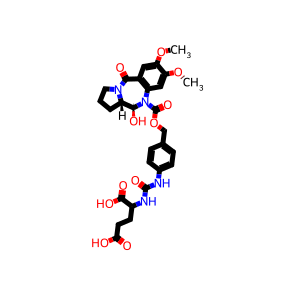 COc1cc2c(cc1OC)N(C(=O)OCc1ccc(NC(=O)NC(CCC(=O)O)C(=O)O)cc1)[C@@H](O)[C@@H]1CCCN1C2=O